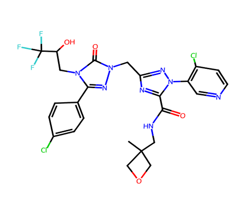 CC1(CNC(=O)c2nc(Cn3nc(-c4ccc(Cl)cc4)n(CC(O)C(F)(F)F)c3=O)nn2-c2cnccc2Cl)COC1